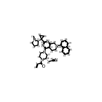 C=CC(=O)N1CCN(c2nc(C3([C@H]4CCCN4C)CC3)nc3c2CCN(c2cccc4ccccc24)C3)C[C@@H]1CC#N